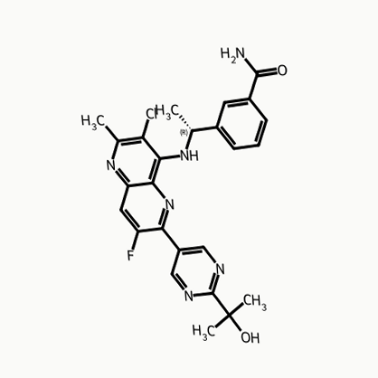 Cc1nc2cc(F)c(-c3cnc(C(C)(C)O)nc3)nc2c(N[C@H](C)c2cccc(C(N)=O)c2)c1Cl